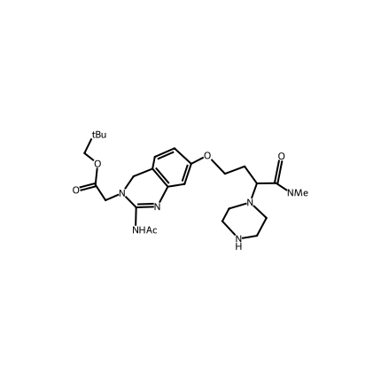 CNC(=O)C(CCOc1ccc2c(c1)N=C(NC(C)=O)N(CC(=O)OCC(C)(C)C)C2)N1CCNCC1